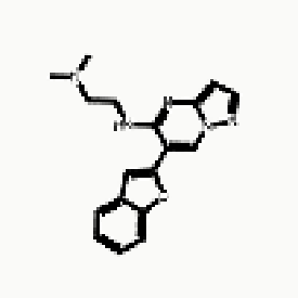 CN(C)CCNc1nc2ccnn2cc1-c1cc2ccccc2o1